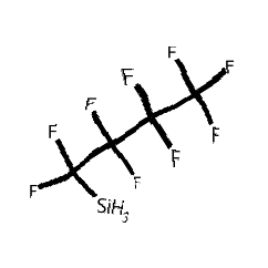 FC(F)(F)C(F)(F)C(F)(F)C(F)(F)[SiH3]